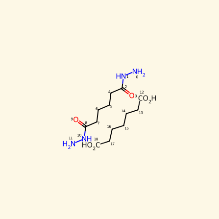 NNC(=O)CCCCC(=O)NN.O=C(O)CCCCCC(=O)O